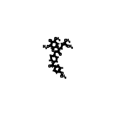 COc1ccc(C(=O)N2CCN(CC(=O)N(CC=C(C)C)c3cn(C)c(=O)n(C)c3=O)CC2)cc1